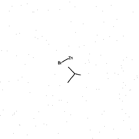 CC(C)C.[Zn][Br]